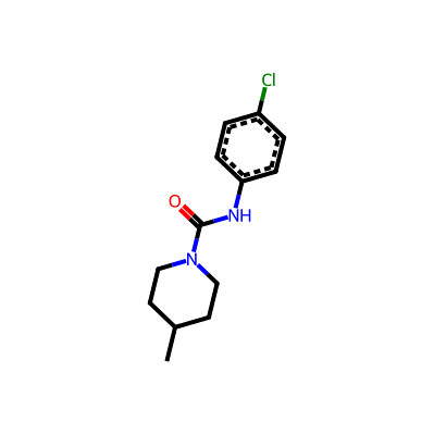 CC1CCN(C(=O)Nc2ccc(Cl)cc2)CC1